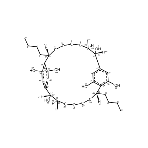 CCCC[C@@H]1CCCC[C@@H](C)[C@H](O)c2cc(O)c(c(O)c2)[C@H](CCCC)CCCC[C@@H](C)[C@H](O)c2cc(O)c1c(O)c2